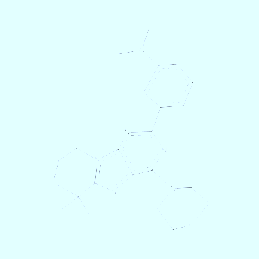 CN(C)c1cccc(-c2nc(N3CCOCC3)c3nc4n(c3n2)CCOC4(C)C)c1